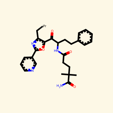 CC(C)Cc1nc(-c2cccnc2)oc1C(=O)C(CCc1ccccc1)NC(=O)[CH]CC(C)(C)C(N)=O